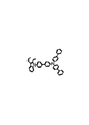 C=Cc1c(/C=C\C)c2ccccc2n1-c1ccc(-c2ccc(N(c3ccc(-c4ccccc4)cc3)c3ccc(-c4ccccc4)cc3)cc2)cc1